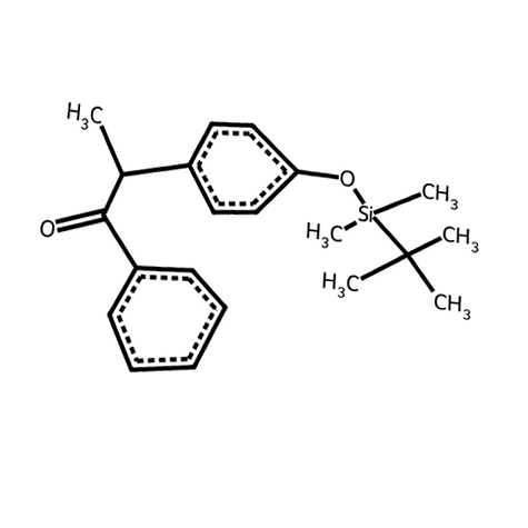 CC(C(=O)c1ccccc1)c1ccc(O[Si](C)(C)C(C)(C)C)cc1